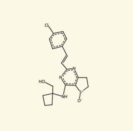 [O-][S+]1CCc2nc(C=Cc3ccc(Cl)cc3)nc(NC3(CO)CCC3)c21